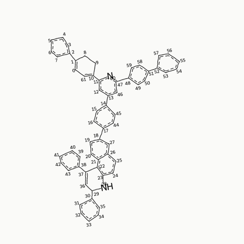 C1=C(c2ccccc2)CCC(c2cc(-c3ccc(-c4ccc5c6c(ccc5c4)NC(c4ccccc4)C=C6c4ccccc4)cc3)cc(-c3ccc(-c4ccccc4)cc3)n2)=C1